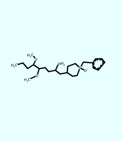 CCCC(OC)C(CC[CH]([InH2])CC1CC[N+]([O-])(Cc2ccccc2)CC1)OC